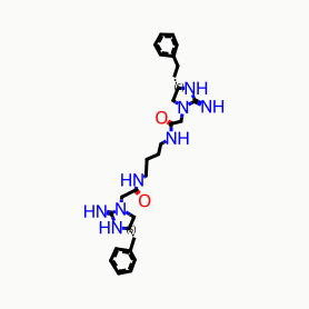 N=C1N[C@@H](CCc2ccccc2)CN1CC(=O)NCCCCNC(=O)CN1C[C@H](Cc2ccccc2)NC1=N